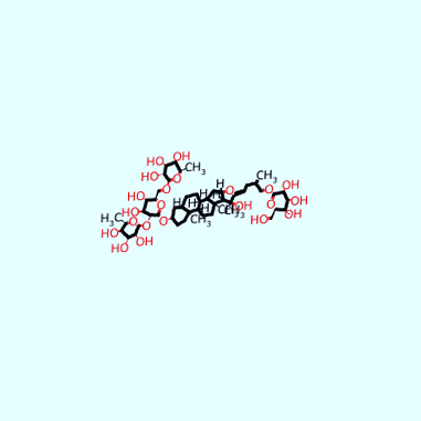 CC(C/C=C1\O[C@H]2C[C@H]3[C@@H]4CC[C@H]5C[C@@H](O[C@@H]6O[C@H](CO[C@@H]7O[C@@H](C)[C@H](O)[C@@H](O)[C@H]7O)[C@@H](O)[C@H](O)[C@H]6O[C@@H]6O[C@@H](C)[C@H](O)[C@@H](O)[C@H]6O)CC[C@]5(C)[C@H]4CC[C@]3(C)[C@H]2[C@]1(C)O)CO[C@@H]1O[C@H](CO)[C@@H](O)[C@H](O)[C@H]1O